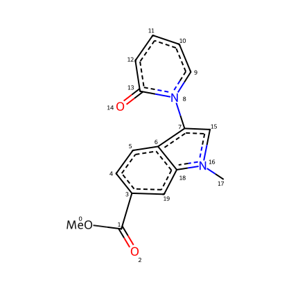 COC(=O)c1ccc2c(-n3ccccc3=O)cn(C)c2c1